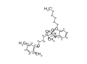 CCCCCCOc1ccccc1NC(=O)C(C)(C)CCCOc1cc(C)ccc1C